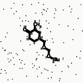 CC1CN(COCOC(C)(C)C)CCC1=O